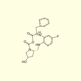 Nc1cc(F)ccc1NC[C@@H]1CC(O)CN1C(=O)OC(=O)OCc1ccccc1